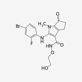 Cn1c(Nc2ccc(Br)cc2F)c(C(=O)NOCCO)c2c1C(=O)CC2